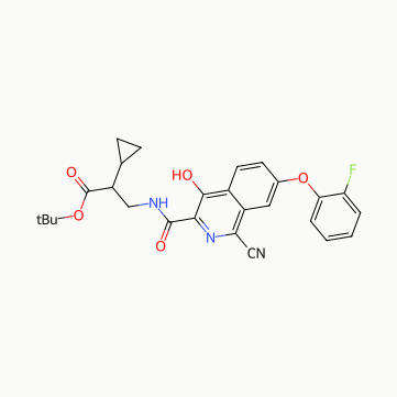 CC(C)(C)OC(=O)C(CNC(=O)c1nc(C#N)c2cc(Oc3ccccc3F)ccc2c1O)C1CC1